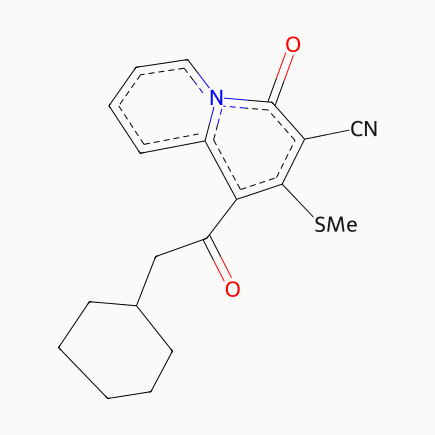 CSc1c(C#N)c(=O)n2ccccc2c1C(=O)CC1CCCCC1